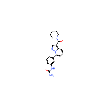 NC(=O)Nc1cccc(-c2cccc3c(C(=O)N4CCCCC4)cnn23)c1